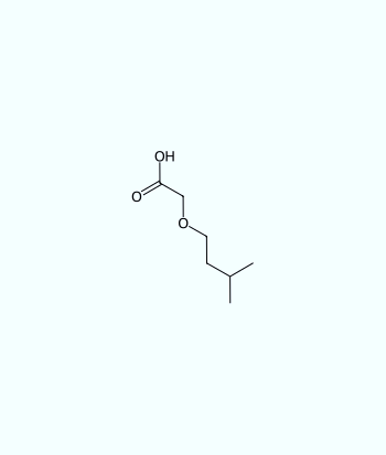 CC(C)CCOCC(=O)O